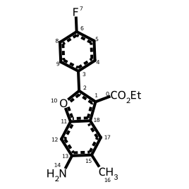 CCOC(=O)c1c(-c2ccc(F)cc2)oc2cc(N)c(C)cc12